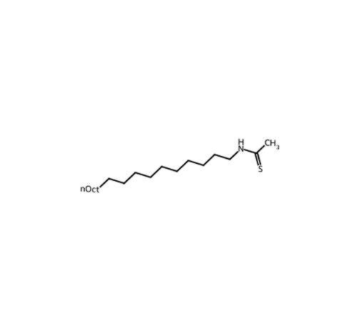 CCCCCCCCCCCCCCCCCCNC(C)=S